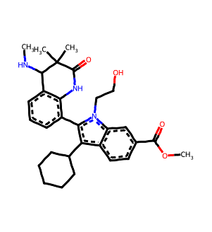 CNC1c2cccc(-c3c(C4CCCCC4)c4ccc(C(=O)OC)cc4n3CCO)c2NC(=O)C1(C)C